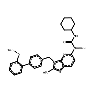 CCCCc1nc2ccc(N(CCCC)C(=O)NC3CCCCC3)nc2n1Cc1ccc(-c2ccccc2OC(=O)O)cc1